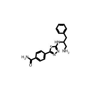 NCC(Cc1ccccc1)Nc1nnc(-c2ccc(C(N)=O)cc2)s1